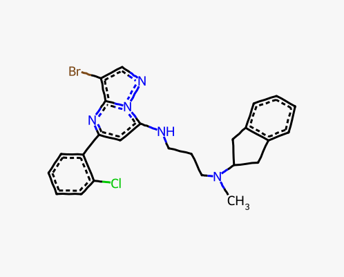 CN(CCCNc1cc(-c2ccccc2Cl)nc2c(Br)cnn12)C1Cc2ccccc2C1